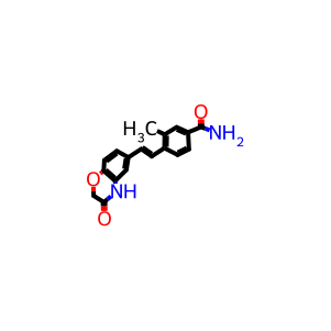 Cc1cc(C(N)=O)ccc1C=Cc1ccc2c(c1)NC(=O)CO2